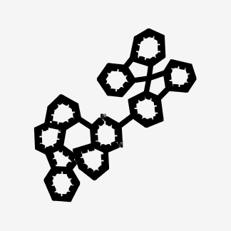 c1ccc2c(c1)-c1ccccc1C21c2ccccc2-c2ccc(-c3nc(-c4cccc5ccc6c7ccccc7oc6c45)c4ccccc4n3)cc21